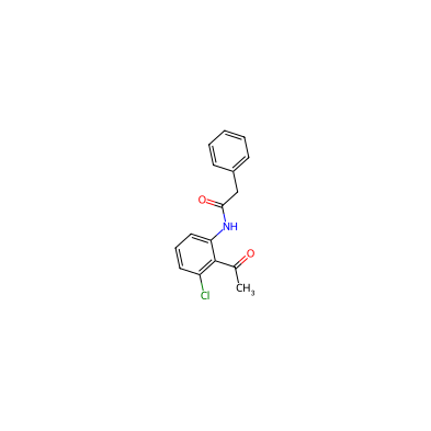 CC(=O)c1c(Cl)cccc1NC(=O)Cc1ccccc1